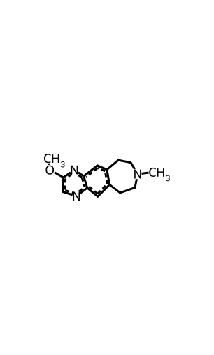 COc1cnc2cc3c(cc2n1)CCN(C)CC3